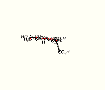 BN[C@@H](CCCCNC(=O)COCCOCCNC(=O)COCCOCCNC(=O)CC[C@H](NC(=O)CCCCCCCCCCCCC(=O)O)C(=O)O)C(=O)O